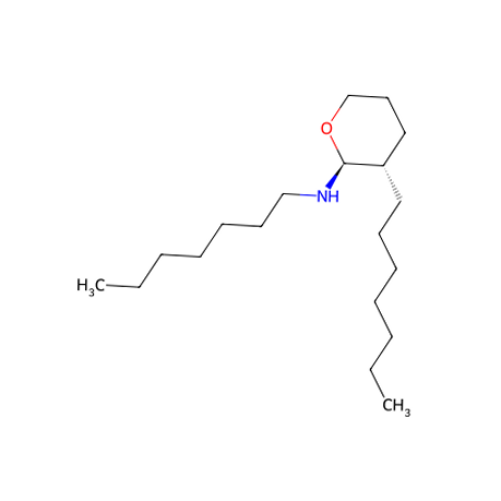 CCCCCCCN[C@H]1OCCC[C@@H]1CCCCCCC